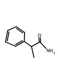 C[C](C(N)=O)c1ccccc1